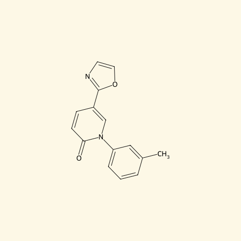 Cc1cccc(-n2cc(-c3ncco3)ccc2=O)c1